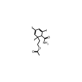 CC(=O)OCCC1(I)C=C(I)C=C(I)C1C(N)=O